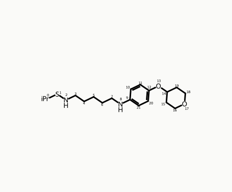 CC(C)SNCCCCCNc1ccc(OC2CCOCC2)cc1